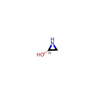 O[C@H]1CN1